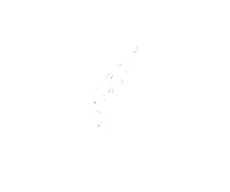 O=C(Nc1nc(CC(=O)N2CCN(C3CCCC3)CC2)cs1)c1ccc(Cl)cc1